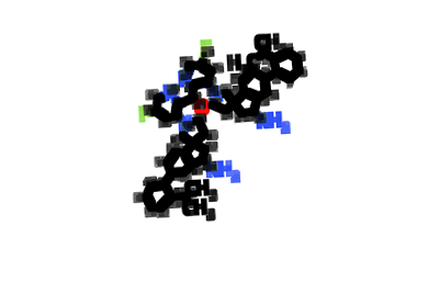 CC(C)c1ccccc1-c1ccc2c(c1)C(N)CC21CCN(c2cc(F)cnc2C(=O)c2ncc(F)cc2N2CCC3(CC(N)c4cc(-c5ccccc5C(C)C)ccc43)C2)C1